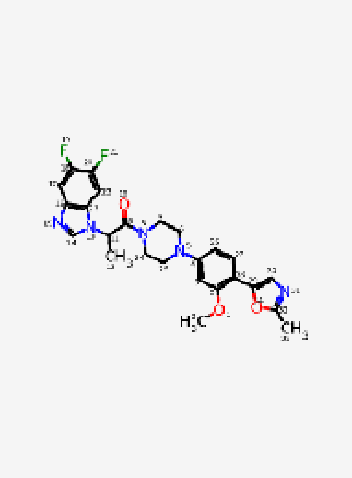 COc1cc(N2CCN(C(=O)C(C)n3cnc4cc(F)c(F)cc43)CC2)ccc1-c1cnc(C)o1